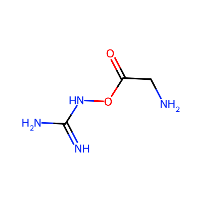 N=C(N)NOC(=O)CN